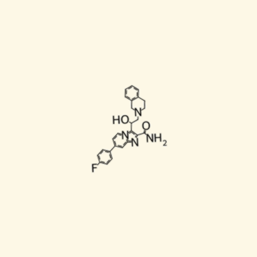 NC(=O)c1nc2cc(-c3ccc(F)cc3)ccn2c1C(O)CN1CCc2ccccc2C1